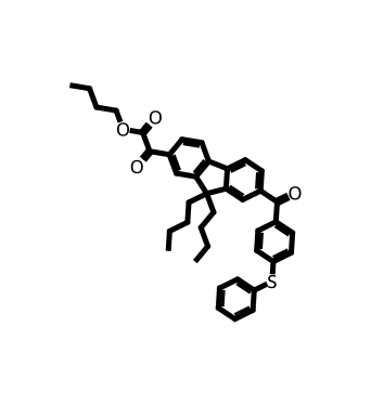 CCCCOC(=O)C(=O)c1ccc2c(c1)C(CCCC)(CCCC)c1cc(C(=O)c3ccc(Sc4ccccc4)cc3)ccc1-2